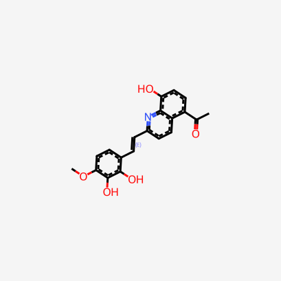 COc1ccc(/C=C/c2ccc3c(C(C)=O)ccc(O)c3n2)c(O)c1O